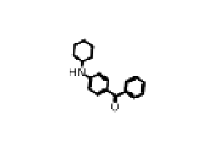 O=C(c1ccccc1)c1ccc(NC2CCCCC2)cc1